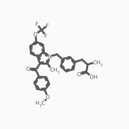 COc1ccc(C(=O)c2c(C)n(Cc3cccc(CC(C)C(=O)O)c3)c3cc(OC(F)(F)F)ccc23)cc1